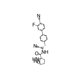 N#Cc1ccc(-c2ccc(C[C@@H](C#N)NC(=O)C34CCC(CN3)N4)cc2)cc1F